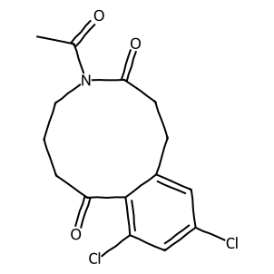 CC(=O)N1CCCC(=O)c2c(Cl)cc(Cl)cc2CCC1=O